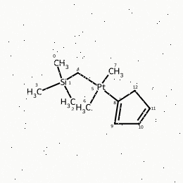 C[Si](C)(C)[CH2][Pt]([CH3])([CH3])[C]1=CC=CC1